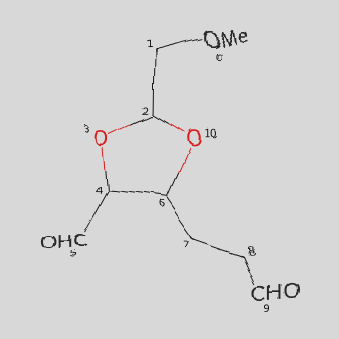 COCC1OC(C=O)C(CCC=O)O1